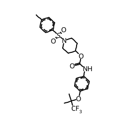 Cc1ccc(S(=O)(=O)N2CCC(OC(=O)Nc3ccc(OC(C)(C)C(F)(F)F)cc3)CC2)cc1